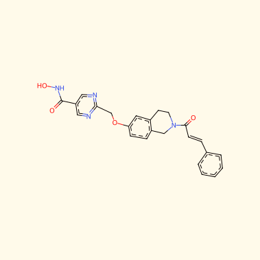 O=C(NO)c1cnc(COc2ccc3c(c2)CCN(C(=O)C=Cc2ccccc2)C3)nc1